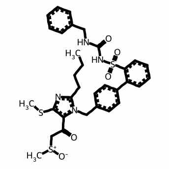 CCCCc1nc(SC)c(C(=O)C[S+](C)[O-])n1Cc1ccc(-c2ccccc2S(=O)(=O)NC(=O)NCc2ccccc2)cc1